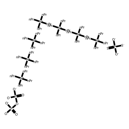 CCC[N+](CCC)(CCC)CCC.CCC[N+](CCC)(CCC)CCC.CCC[N+](CCC)(CCC)CCC.CCC[N+](CCC)(CCC)CCC.CCC[N+](CCC)(CCC)CCC.CCC[N+](CCC)(CCC)CCC.CCC[N+](CCC)(CCC)CCC.O=P([O-])([O-])OP(=O)([O-])[O-].[O-]P([O-])(=S)[S-]